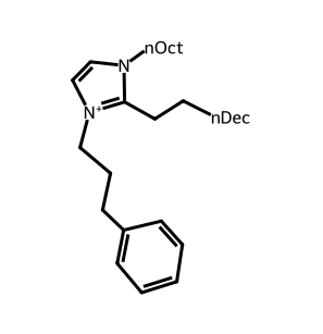 CCCCCCCCCCCCc1n(CCCCCCCC)cc[n+]1CCCc1ccccc1